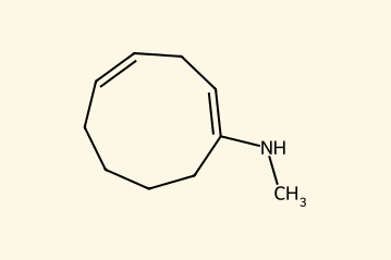 CN/C1=C/C/C=C\CCCC1